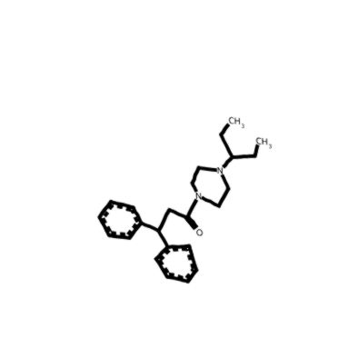 CCC(CC)N1CCN(C(=O)CC(c2ccccc2)c2ccccc2)CC1